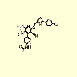 [C-]#[N+]c1c(N)nc(SCc2csc(-c3ccc(Cl)cc3)n2)c(C#N)c1-c1ccc(NC(C)=O)nc1